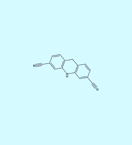 N#Cc1ccc2c(c1)Nc1cc(C#N)ccc1C2